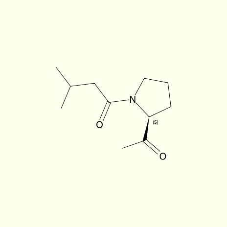 CC(=O)[C@@H]1CCCN1C(=O)CC(C)C